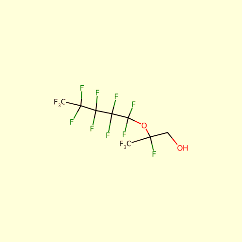 OCC(F)(OC(F)(F)C(F)(F)C(F)(F)C(F)(F)C(F)(F)F)C(F)(F)F